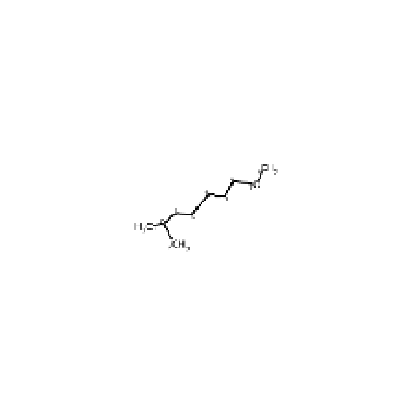 [CH2]OCCCCCC(C)C